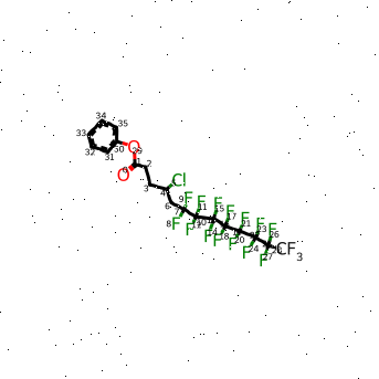 O=C(CCC(Cl)CC(F)(F)C(F)(F)C(F)(F)C(F)(F)C(F)(F)C(F)(F)C(F)(F)C(F)(F)F)Oc1ccccc1